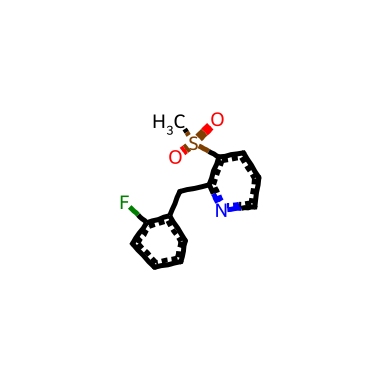 CS(=O)(=O)c1cccnc1Cc1ccccc1F